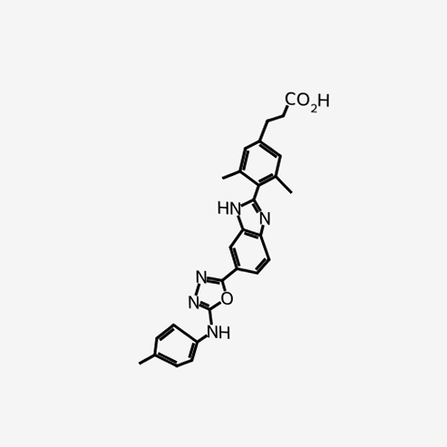 Cc1ccc(Nc2nnc(-c3ccc4nc(-c5c(C)cc(CCC(=O)O)cc5C)[nH]c4c3)o2)cc1